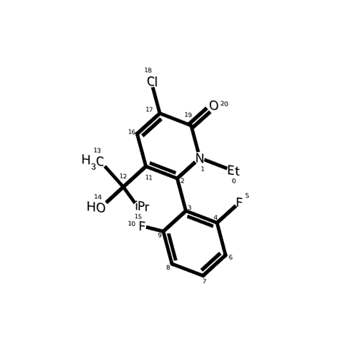 CCn1c(-c2c(F)cccc2F)c(C(C)(O)C(C)C)cc(Cl)c1=O